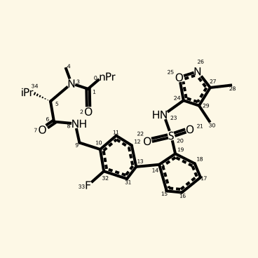 CCCC(=O)N(C)[C@H](C(=O)NCc1ccc(-c2ccccc2S(=O)(=O)Nc2onc(C)c2C)cc1F)C(C)C